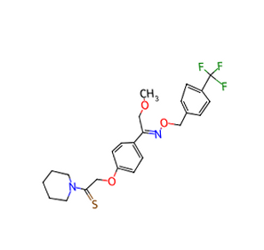 COCC(=NOCc1ccc(C(F)(F)F)cc1)c1ccc(OCC(=S)N2CCCCC2)cc1